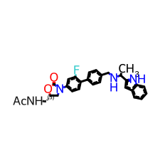 CC(=O)NC[C@H]1CN(c2ccc(-c3ccc(CNC(C)c4cc5ccccc5[nH]4)cc3)c(F)c2)C(=O)O1